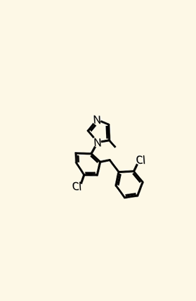 Cc1cncn1-c1ccc(Cl)cc1Cc1ccccc1Cl